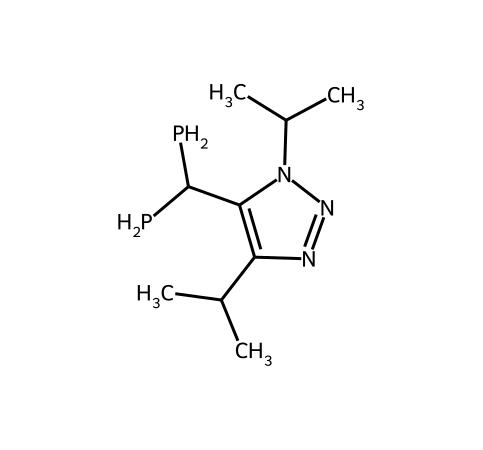 CC(C)c1nnn(C(C)C)c1C(P)P